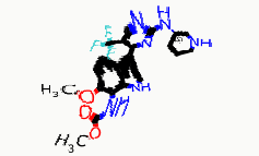 COC(=O)Nc1c(OC)ccc2c(-c3nc(N[C@H]4CCCNC4)ncc3C(F)(F)F)c[nH]c12